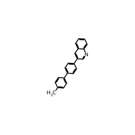 Cc1ccc(-c2ccc(-c3cnc4ccccc4c3)cc2)cc1